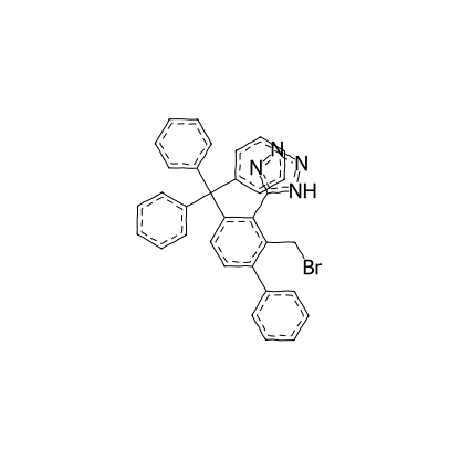 BrCc1c(-c2ccccc2)ccc(C(c2ccccc2)(c2ccccc2)c2ccccc2)c1-c1nnn[nH]1